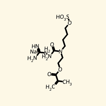 C=C(C)C(=O)OCCN(CCCCOS(=O)(=O)O)C(N)=O.N=C(N)N.[NaH]